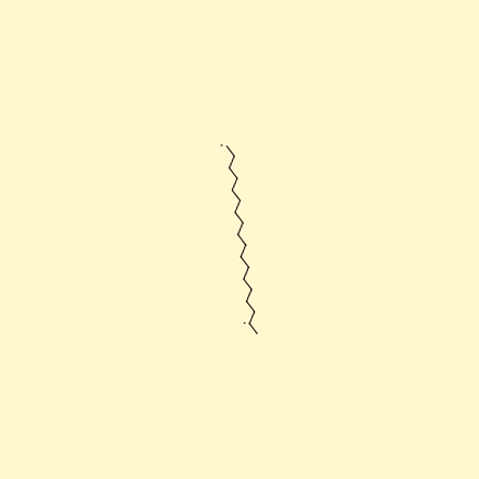 [CH2]CCCCCCCCCCCCCCC[CH]C